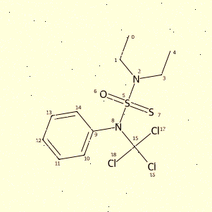 CCN(CC)S(=O)(=S)N(c1ccccc1)C(Cl)(Cl)Cl